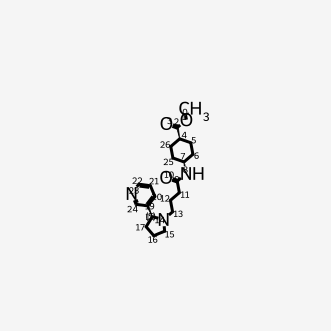 COC(=O)[C@H]1CC[C@H](NC(=O)CCCN2CCC[C@H]2c2cccnc2)CC1